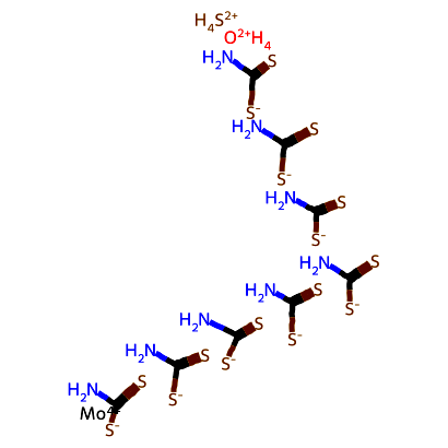 NC(=S)[S-].NC(=S)[S-].NC(=S)[S-].NC(=S)[S-].NC(=S)[S-].NC(=S)[S-].NC(=S)[S-].NC(=S)[S-].[Mo+4].[OH4+2].[SH4+2]